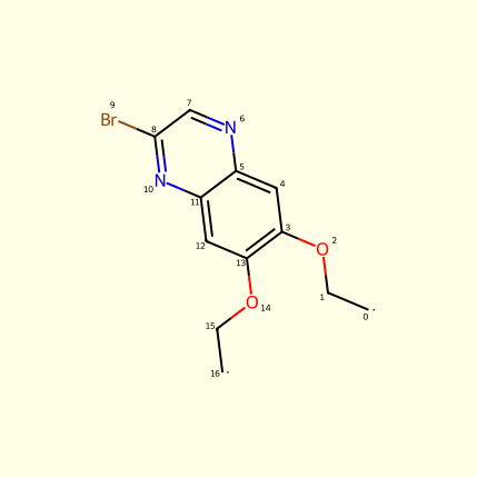 [CH2]COc1cc2ncc(Br)nc2cc1OC[CH2]